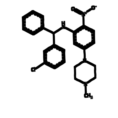 CN1CCN(c2ccc([N+](=O)[O-])c(NC(c3ccccc3)c3cccc(Cl)c3)c2)CC1